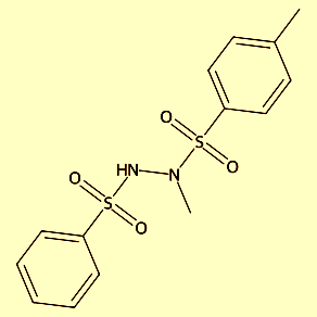 Cc1ccc(S(=O)(=O)N(C)NS(=O)(=O)c2ccccc2)cc1